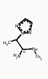 CN[C@@H](N)C(C)n1nccn1